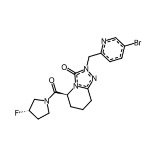 O=C([C@@H]1CCCc2nn(Cc3ccc(Br)cn3)c(=O)n21)N1CC[C@H](F)C1